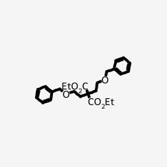 CCOC(=O)C(CCOCc1ccccc1)(CCOCc1ccccc1)C(=O)OCC